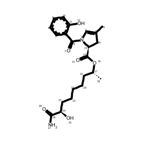 CC1=CN(C(=O)c2ccccc2O)[C@H](C(=O)O[C@H](C)CCCCC[C@@H](O)C(N)=O)C1